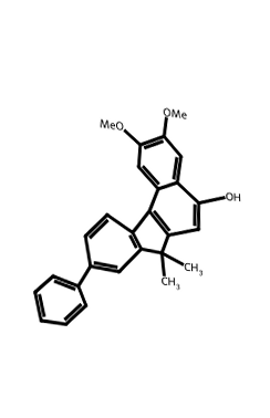 COc1cc2c(O)cc3c(c2cc1OC)-c1ccc(-c2ccccc2)cc1C3(C)C